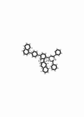 C1=C(c2ccccc2)N=C(c2ccccc2)NC1c1ccc(-c2ccc(-c3cccc4ccccc34)cc2)c2oc3cc4ccccc4cc3c12